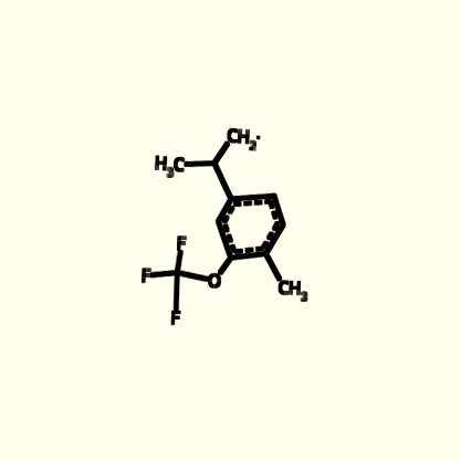 [CH2]C(C)c1ccc(C)c(OC(F)(F)F)c1